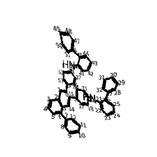 C(=Cc1cccc(-c2ccccc2)c1C=Cc1ccc(Nc2ccccc2-c2ccccc2)cc1)c1ccc(Nc2ccccc2-c2ccccc2)cc1